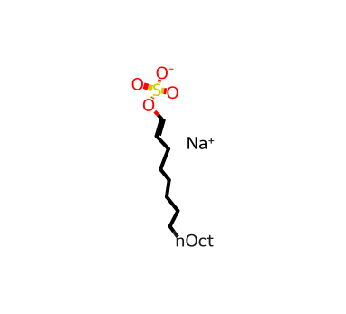 CCCCCCCCCCCCCCC=COS(=O)(=O)[O-].[Na+]